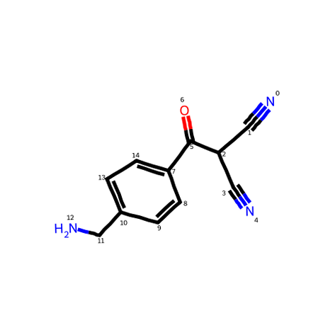 N#CC(C#N)C(=O)c1ccc(CN)cc1